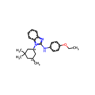 CCOc1ccc(Nc2nc3ccccc3n2[C@H]2C[C@@H](C)CC(C)(C)C2)cc1